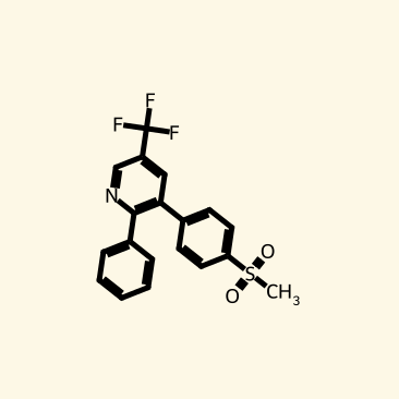 CS(=O)(=O)c1ccc(-c2cc(C(F)(F)F)cnc2-c2ccccc2)cc1